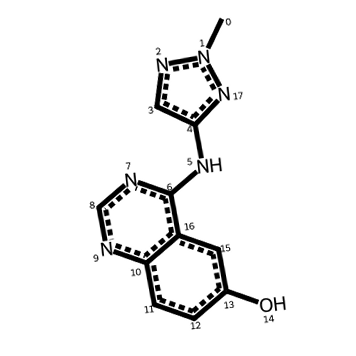 Cn1ncc(Nc2ncnc3ccc(O)cc23)n1